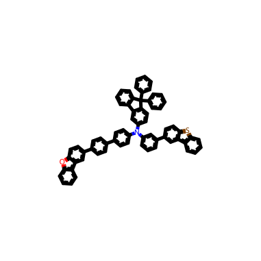 c1ccc(C2(c3ccccc3)c3ccccc3-c3cc(N(c4ccc(-c5ccc(-c6ccc7oc8ccccc8c7c6)cc5)cc4)c4cccc(-c5ccc6sc7ccccc7c6c5)c4)ccc32)cc1